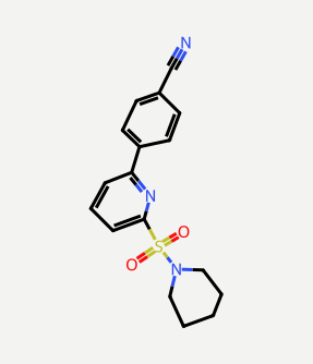 N#Cc1ccc(-c2cccc(S(=O)(=O)N3CCCCC3)n2)cc1